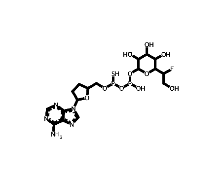 Nc1ncnc2c1ncn2C1CCC(COP(S)OP(O)OC2OC(C(F)CO)C(O)C(O)C2O)O1